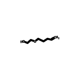 C=CCCCOCCO